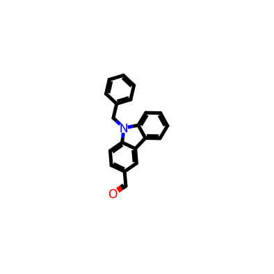 O=Cc1ccc2c(c1)c1ccccc1n2Cc1ccccc1